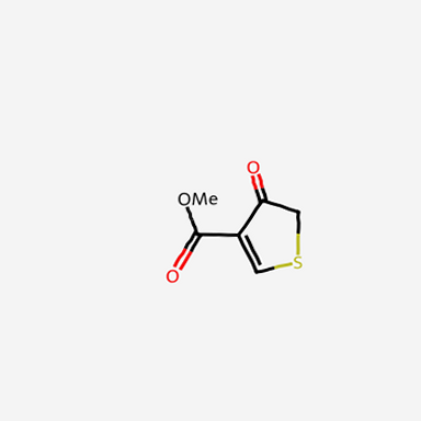 COC(=O)C1=CSCC1=O